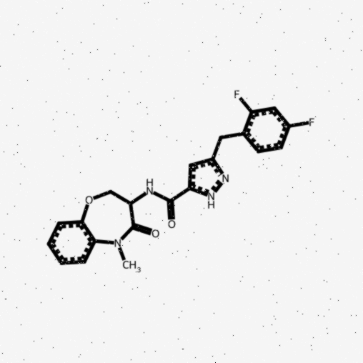 CN1C(=O)C(NC(=O)c2cc(Cc3ccc(F)cc3F)n[nH]2)COc2ccccc21